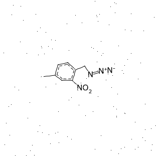 [CH2]c1ccc(CN=[N+]=[N-])c([N+](=O)[O-])c1